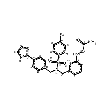 CC(=O)ONc1cccc(CN(Cc2ccc(-c3nccs3)cc2)S(=O)(=O)c2ccc(F)cc2)n1